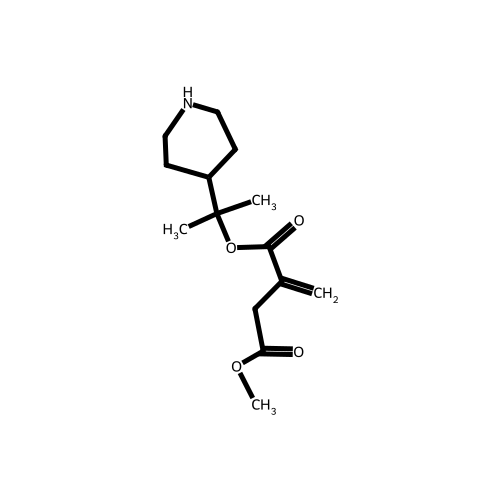 C=C(CC(=O)OC)C(=O)OC(C)(C)C1CCNCC1